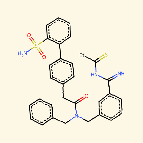 CCC(=S)NC(=N)c1cccc(CN(Cc2ccccc2)C(=O)Cc2ccc(-c3ccccc3S(N)(=O)=O)cc2)c1